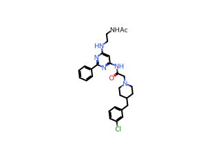 CC(=O)NCCNc1cc(NC(=O)CN2CCC(Cc3cccc(Cl)c3)CC2)nc(-c2ccccc2)n1